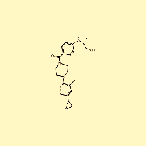 Cc1cc(C2CC2)cnc1N1CCN(C(=O)c2ccc(N[C@H](C)CO)cc2)CC1